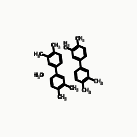 Cc1ccc(-c2ccc(C)c(C)c2)cc1C.Cc1ccc(-c2ccc(C)c(C)c2)cc1C.O